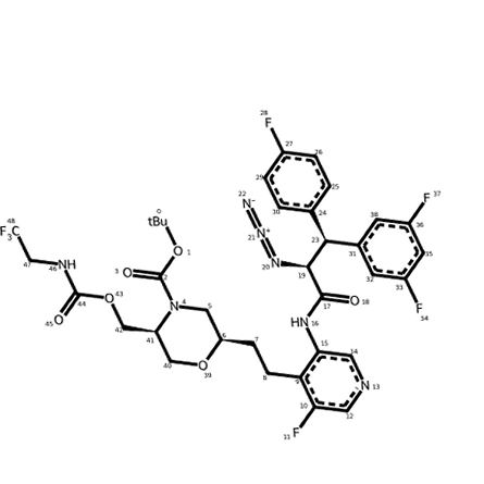 CC(C)(C)OC(=O)N1C[C@@H](CCc2c(F)cncc2NC(=O)[C@@H](N=[N+]=[N-])[C@@H](c2ccc(F)cc2)c2cc(F)cc(F)c2)OC[C@H]1COC(=O)NCC(F)(F)F